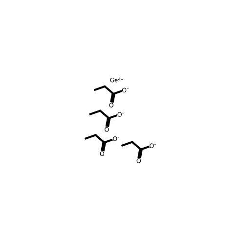 CCC(=O)[O-].CCC(=O)[O-].CCC(=O)[O-].CCC(=O)[O-].[Ge+4]